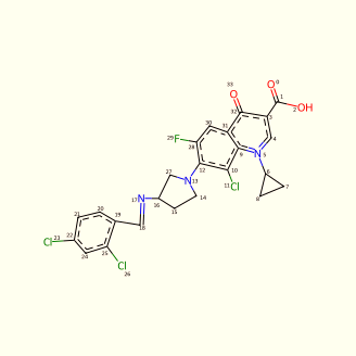 O=C(O)c1cn(C2CC2)c2c(Cl)c(N3CCC(/N=C/c4ccc(Cl)cc4Cl)C3)c(F)cc2c1=O